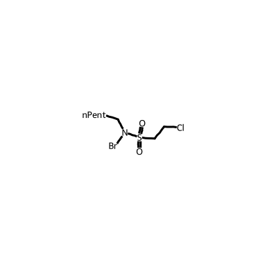 CCCCCCN(Br)S(=O)(=O)CCCl